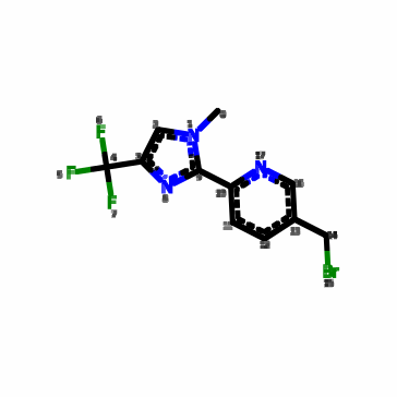 Cn1cc(C(F)(F)F)nc1-c1ccc(CBr)cn1